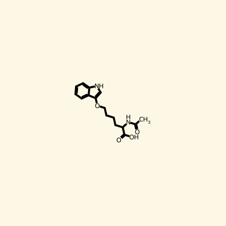 CC(=O)NC(CCCCOc1c[nH]c2ccccc12)C(=O)O